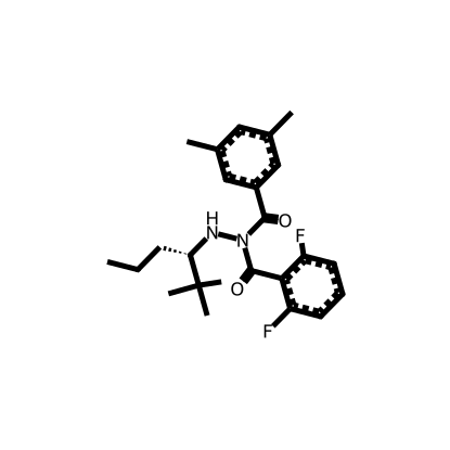 CCC[C@H](NN(C(=O)c1cc(C)cc(C)c1)C(=O)c1c(F)cccc1F)C(C)(C)C